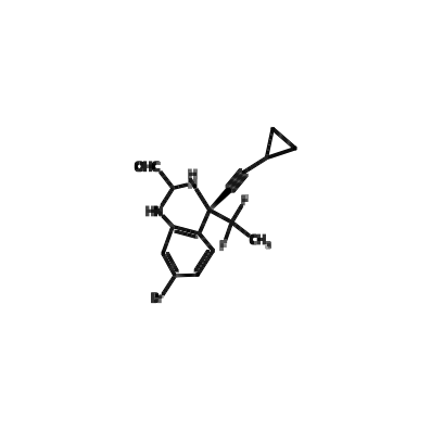 CC(F)(F)[C@@]1(C#CC2CC2)NC(C=O)Nc2cc(Br)ccc21